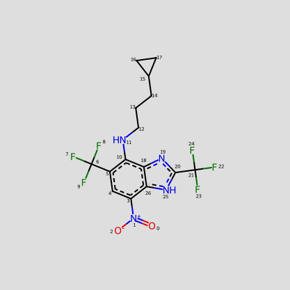 O=[N+]([O-])c1cc(C(F)(F)F)c(NCCCC2CC2)c2nc(C(F)(F)F)[nH]c12